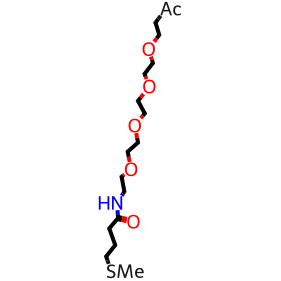 CSCCCC(=O)NCCOCCOCCOCCOCCC(C)=O